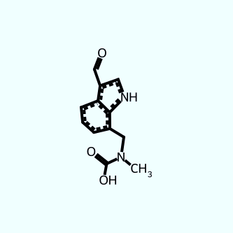 CN(Cc1cccc2c(C=O)c[nH]c12)C(=O)O